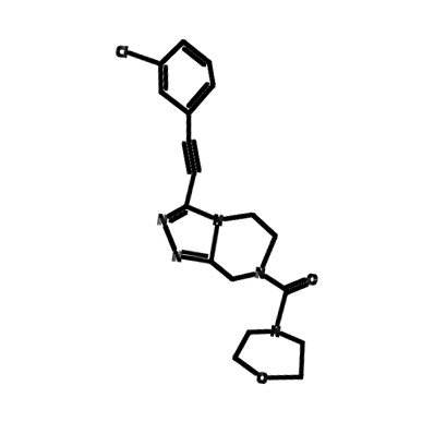 O=C(N1CCOCC1)N1CCn2c(C#Cc3cccc(Cl)c3)nnc2C1